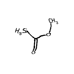 COC(=O)[SiH3]